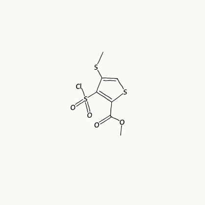 COC(=O)c1scc(SC)c1S(=O)(=O)Cl